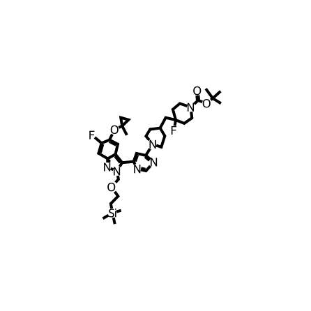 CC(C)(C)OC(=O)N1CCC(F)(CC2CCN(c3cc(-c4c5cc(OC6(C)CC6)c(F)cc5nn4COCC[Si](C)(C)C)ncn3)CC2)CC1